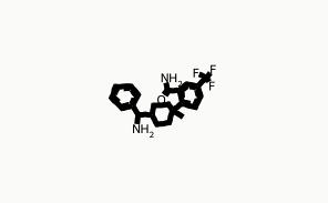 CC1(c2ccc(C(F)(F)F)cc2C(N)=O)CCC(C(N)c2ccccc2)CC1